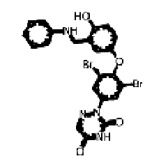 O=c1cnn(-c2cc(Br)c(Oc3ccc(O)c(CNc4ccccc4)c3)c(Br)c2)c(=O)[nH]1